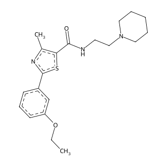 CCOc1cccc(-c2nc(C)c(C(=O)NCCN3CCCCC3)s2)c1